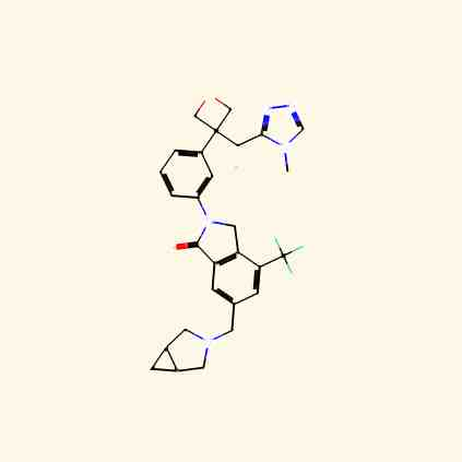 Cn1cnnc1[C@H](F)C1(c2cccc(N3Cc4c(cc(CN5CC6CC6C5)cc4C(F)(F)F)C3=O)c2)COC1